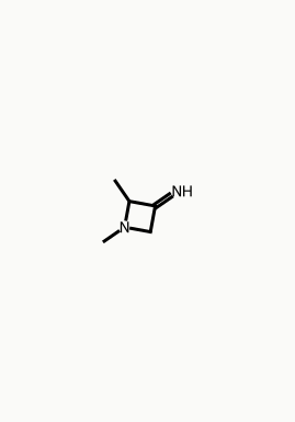 CC1C(=N)CN1C